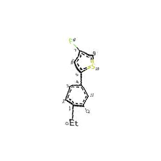 CCc1ccc(-c2cc(F)cs2)cc1